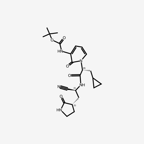 CC(C)(C)OC(=O)Nc1cccn([C@H](CC2CC2)C(=O)N[C@H](C#N)C[C@@H]2CCNC2=O)c1=O